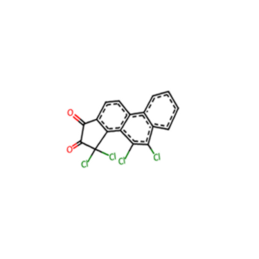 O=C1C(=O)C(Cl)(Cl)c2c1ccc1c2c(Cl)c(Cl)c2ccccc21